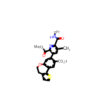 CCCNC(=O)c1nc(C(=O)OC)c(-c2cc3c(cc2C(=O)O)-c2sccc2CCO3)cc1C